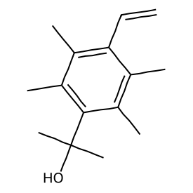 C=Cc1c(C)c(C)c(C(C)(C)O)c(C)c1C